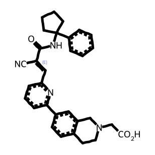 N#C/C(=C\c1cccc(-c2ccc3c(c2)CN(CC(=O)O)CC3)n1)C(=O)NC1(c2ccccc2)CCCC1